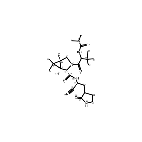 CN(C)C(=O)NC(C(=O)N1C[C@H]2[C@@H]([C@H]1C(=O)N[C@H](C#N)CC1CCNC1=O)C2(C)C)C(C)(C)C